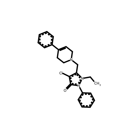 CCn1c(CN2CC=C(c3ccccc3)CC2)c(Cl)c(=O)n1-c1ccccc1